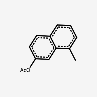 CC(=O)Oc1ccc2cccc(C)c2c1